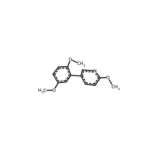 COc1ccc(OC)c(-c2ccc(OC)nc2)c1